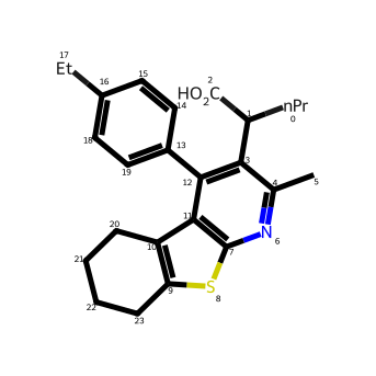 CCCC(C(=O)O)c1c(C)nc2sc3c(c2c1-c1ccc(CC)cc1)CCCC3